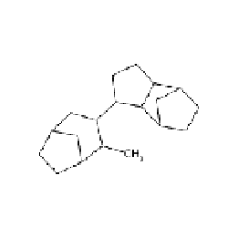 CC1C2CCC(C2)CC1C1CCC2C3CCC(C3)C21